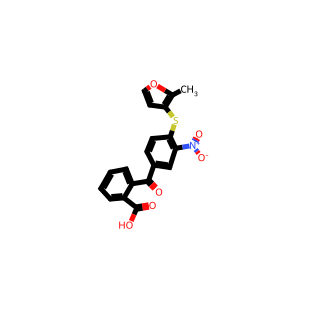 Cc1occc1Sc1ccc(C(=O)c2ccccc2C(=O)O)cc1[N+](=O)[O-]